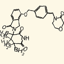 BC1(B)C(=O)NC(=O)C(B)(N2Cc3c(OCc4ccc(CN5CCOCC5=O)cc4)cccc3C2=O)C1(B)B